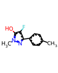 Cc1ccc(-c2nn(C)c(O)c2F)cc1